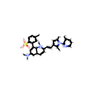 Cc1ccc(S(=O)(=O)[O-])c(C2=CC(N(C)C)=CC3C=CC(/C=C/c4cc(C)n(-c5ncccc5C)c4C)=[N+](C)C23)c1